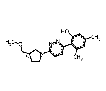 COC[C@@H]1CCN(c2ccc(-c3c(C)cc(C)cc3O)nn2)C1